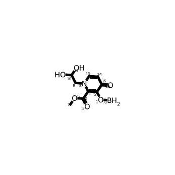 BOc1c(C(=O)OC)n(CC(O)O)ccc1=O